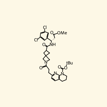 COC(=O)C[C@H](NC(=O)C1CC2(C1)CN(C(=O)CCc1ccc3c(n1)N(C(=O)OC(C)(C)C)CCC3)C2)c1cc(Cl)cc(Cl)c1